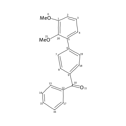 COc1cccc(-c2ccc(C(=O)c3ccccc3)cc2)c1OC